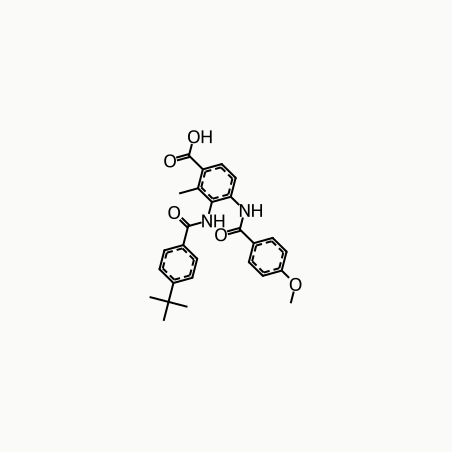 COc1ccc(C(=O)Nc2ccc(C(=O)O)c(C)c2NC(=O)c2ccc(C(C)(C)C)cc2)cc1